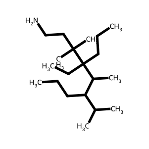 CCCC(C(C)C)C(C)C(CC)(CCC)C(C)(C)CCN